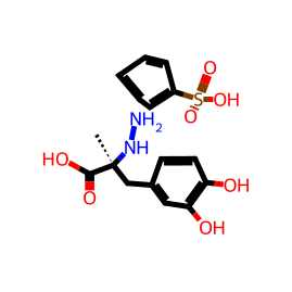 C[C@@](Cc1ccc(O)c(O)c1)(NN)C(=O)O.O=S(=O)(O)c1ccccc1